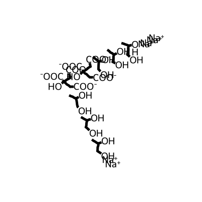 CC(O)CO.CC(O)CO.CC(O)CO.CC(O)CO.CC(O)CO.CC(O)CO.O=C([O-])CC(O)(CC(=O)[O-])C(=O)[O-].O=C([O-])CC(O)(CC(=O)[O-])C(=O)[O-].[Na+].[Na+].[Na+].[Na+].[Na+].[Na+]